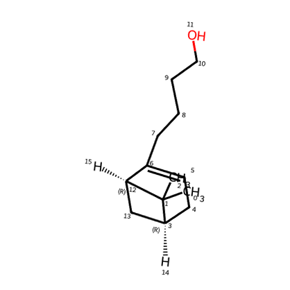 CC1(C)[C@H]2CC=C(CCCCO)[C@@H]1C2